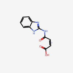 O=C(O)/C=C\C(=O)Nc1nc2ccccc2[nH]1